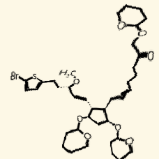 CO[C@H](/C=C/[C@@H]1[C@@H](C/C=C\CCCC(=O)COC2CCCCO2)[C@@H](OC2CCCCO2)C[C@H]1OC1CCCCO1)CCc1ccc(Br)s1